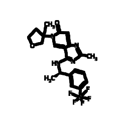 Cc1nc(N[C@H](C)c2cccc(S(F)(F)(F)(F)F)c2)c2cn(C3(C)CCOC3)c(=O)cc2n1